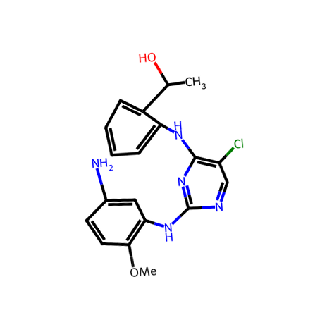 COc1ccc(N)cc1Nc1ncc(Cl)c(Nc2ccccc2C(C)O)n1